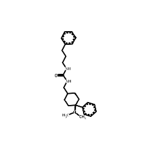 CN(C)C1(c2ccccc2)CCC(CNC(=O)NCCCc2ccccc2)CC1